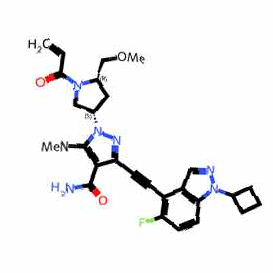 C=CC(=O)N1C[C@@H](n2nc(C#Cc3c(F)ccc4c3cnn4C3CCC3)c(C(N)=O)c2NC)C[C@@H]1COC